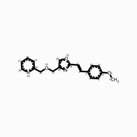 COc1ccc(C=Cc2nc(COCc3ccccn3)co2)cc1